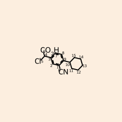 N#Cc1cc(C(Cl)C(=O)O)ccc1C1CCCCC1